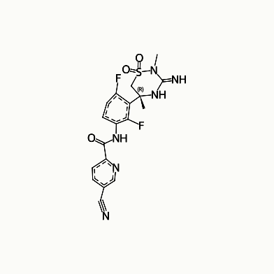 CN1C(=N)N[C@](C)(c2c(F)ccc(NC(=O)c3ccc(C#N)cn3)c2F)CS1(=O)=O